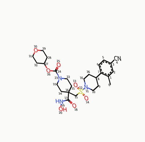 Cc1cc(C#N)ccc1C1CCN(S(=O)(=O)CC2(C(=O)NO)CCN(C(=O)OC3CCOCC3)CC2)CC1